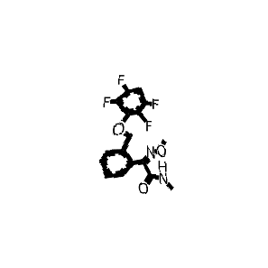 CNC(=O)C(=NOC)c1ccccc1COc1c(F)c(F)cc(F)c1F